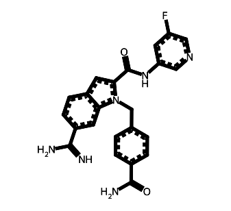 N=C(N)c1ccc2cc(C(=O)Nc3cncc(F)c3)n(Cc3ccc(C(N)=O)cc3)c2c1